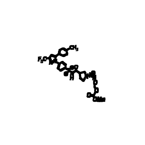 COC(=O)OCOn1on1N1CCC(C(=O)NS(=O)(=O)c2ccc(-n3nc(C(F)(F)F)cc3-c3ccc(C)cc3)cc2)C1